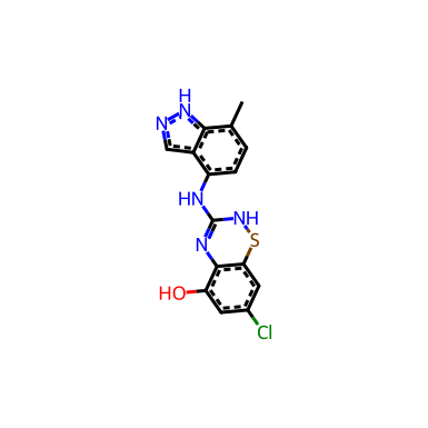 Cc1ccc(NC2=Nc3c(O)cc(Cl)cc3SN2)c2cn[nH]c12